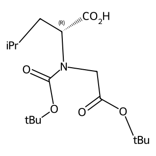 CC(C)C[C@H](C(=O)O)N(CC(=O)OC(C)(C)C)C(=O)OC(C)(C)C